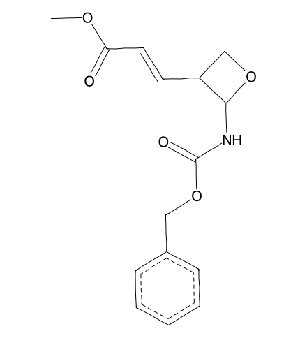 COC(=O)C=CC1COC1NC(=O)OCc1ccccc1